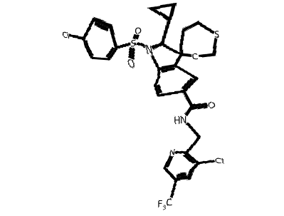 O=C(NCc1ncc(C(F)(F)F)cc1Cl)c1ccc2c(c1)C1(CCSCC1)C(C1CC1)N2S(=O)(=O)c1ccc(Cl)cc1